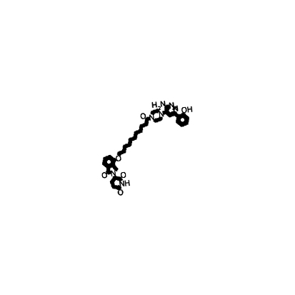 Nc1nnc(-c2ccccc2O)cc1N1CCN(C(=O)CCCCCCCCCCOc2cccc3c2CN(C2CCC(=O)NC2=O)C3=O)CC1